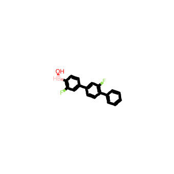 OBc1ccc(-c2ccc(-c3ccccc3)c(F)c2)cc1F